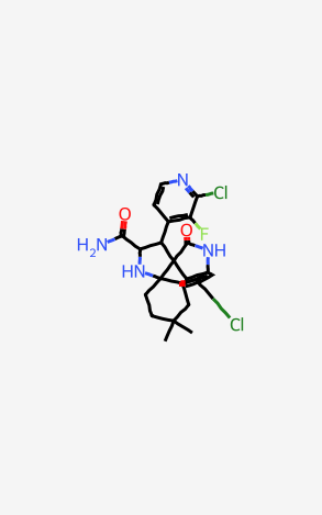 CC1(C)CCC2(CC1)NC(C(N)=O)C(c1ccnc(Cl)c1F)C21C(=O)Nc2cc(Cl)ccc21